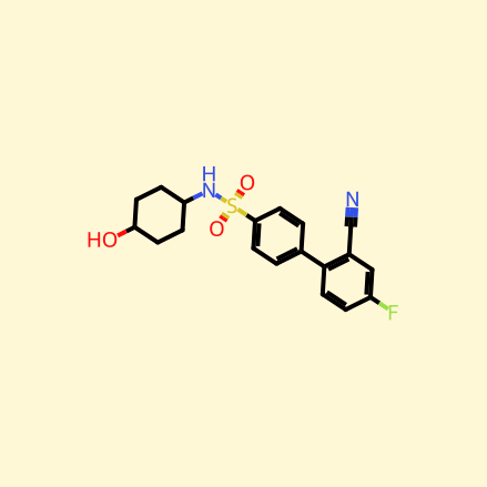 N#Cc1cc(F)ccc1-c1ccc(S(=O)(=O)NC2CCC(O)CC2)cc1